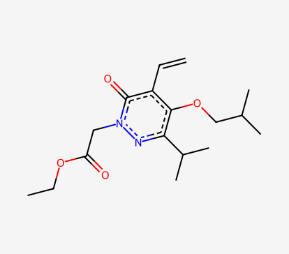 C=Cc1c(OCC(C)C)c(C(C)C)nn(CC(=O)OCC)c1=O